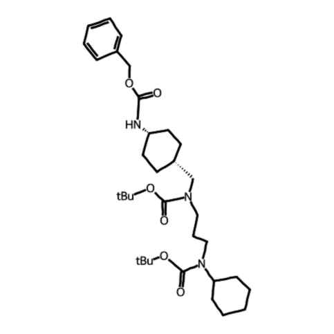 CC(C)(C)OC(=O)N(CCCN(C(=O)OC(C)(C)C)C1CCCCC1)C[C@H]1CC[C@@H](NC(=O)OCc2ccccc2)CC1